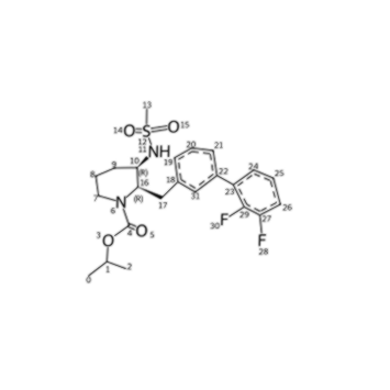 CC(C)OC(=O)N1CCC[C@@H](NS(C)(=O)=O)[C@H]1Cc1cccc(-c2cccc(F)c2F)c1